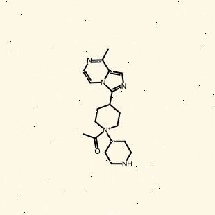 CC(=O)[N+]1(C2CCNCC2)CCC(c2ncc3c(C)nccn23)CC1